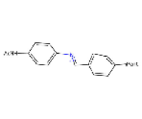 CCCC(C)c1ccc(/C=N/c2ccc(NC(C)=O)cc2)cc1